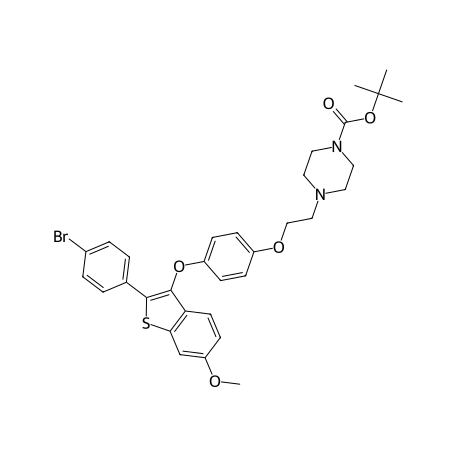 COc1ccc2c(Oc3ccc(OCCN4CCN(C(=O)OC(C)(C)C)CC4)cc3)c(-c3ccc(Br)cc3)sc2c1